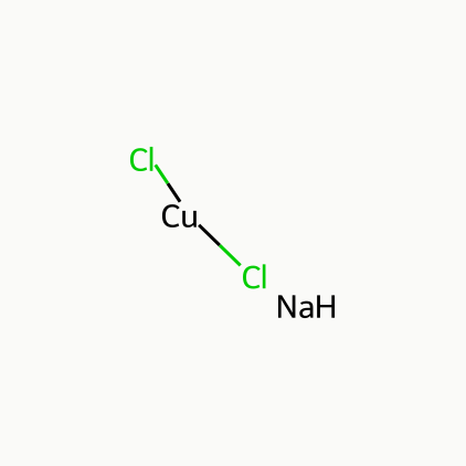 [Cl][Cu][Cl].[NaH]